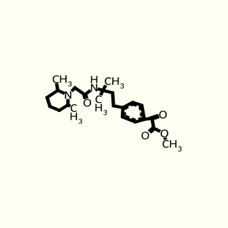 COC(=O)C(=O)c1ccc(CCC(C)(C)NC(=O)CN2C(C)CCCC2C)cc1